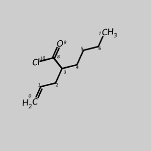 C=CCC(CCCC)C(=O)Cl